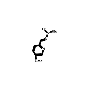 COc1ccc(/C=N/[S+]([O-])C(C)(C)C)nc1